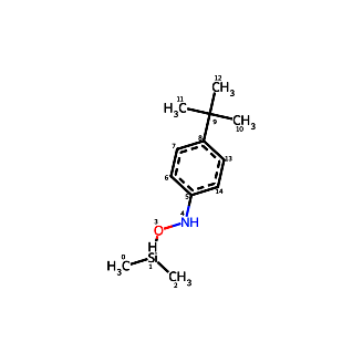 C[SiH](C)ONc1ccc(C(C)(C)C)cc1